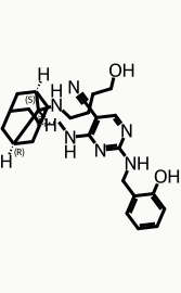 N#Cc1cnc(NCc2ccccc2O)nc1NC[C@@]12CC3C[C@H](C1)[C@@H](NCCCCO)[C@@H](C3)C2